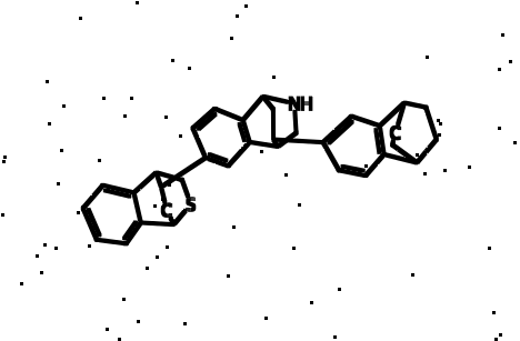 c1ccc2c(c1)C1CC(c3ccc4c(c3)C3CNC4CC3c3ccc4c(c3)C3CCC4CC3)C2CS1